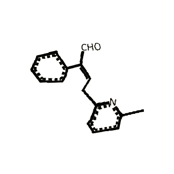 Cc1cccc(CC=C(C=O)c2ccccc2)n1